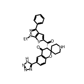 CCn1nc(-c2ccccc2)c2cc(C(=O)[C@H]3C(=O)c4cc(-c5nnn[nH]5)ccc4OC34CCNCC4)sc21